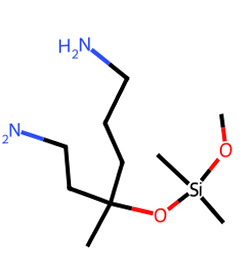 CO[Si](C)(C)OC(C)(CCN)CCCN